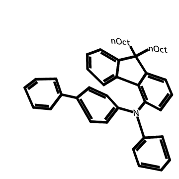 CCCCCCCCC1(CCCCCCCC)c2ccccc2-c2c(N(c3ccccc3)c3ccc(-c4ccccc4)cc3)cccc21